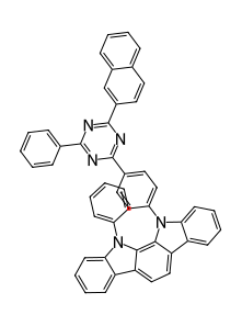 c1ccc(-c2nc(-c3ccc(-n4c5ccccc5c5ccc6c7ccccc7n(-c7ccccc7)c6c54)cc3)nc(-c3ccc4ccccc4c3)n2)cc1